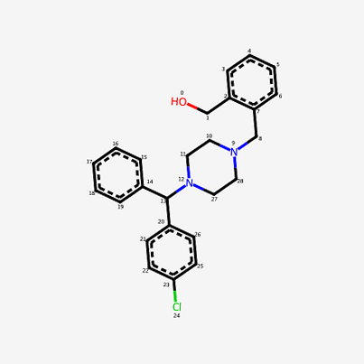 OCc1ccccc1CN1CCN(C(c2ccccc2)c2ccc(Cl)cc2)CC1